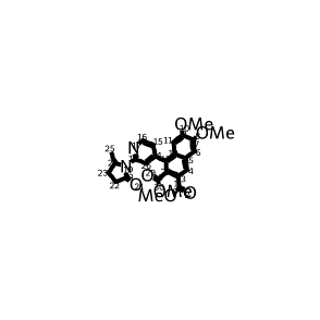 COC(=O)c1cc2cc(OC)c(OC)cc2c(-c2ccnc(N3C(=O)CCC3C)c2)c1C(=O)OC